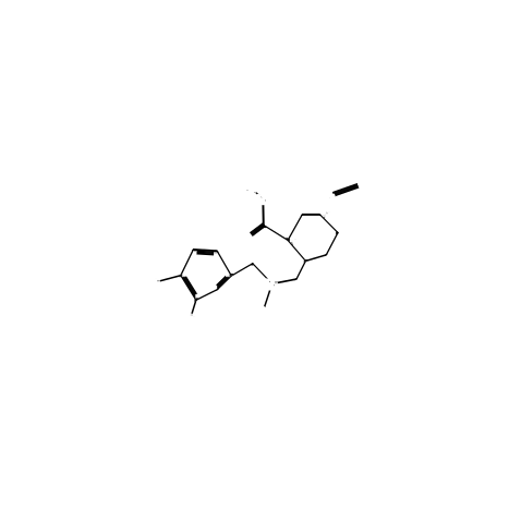 C=C[C@@H]1CCC(CN(C)Cc2ccc(Cl)c(Cl)c2)[C@@](C)(C(=O)NC(C)(C)C)C1